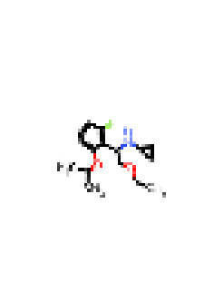 CCOCC(NC1CC1)c1c(F)cccc1OC(C)C